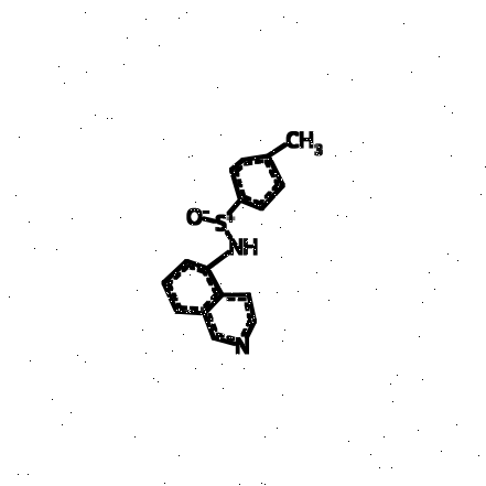 Cc1ccc([S+]([O-])Nc2cccc3cnccc23)cc1